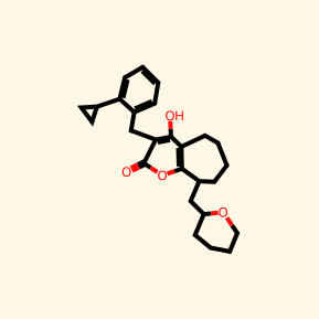 O=c1oc2c(c(O)c1Cc1ccccc1C1CC1)CCCCC2CC1CCCCO1